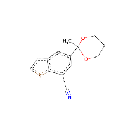 CC1(c2cc(C#N)c3sccc3c2)OCCCO1